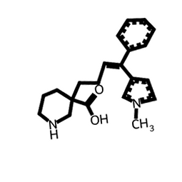 Cn1ccc(C(=CCCC2(C(=O)O)CCCNC2)c2ccccc2)c1